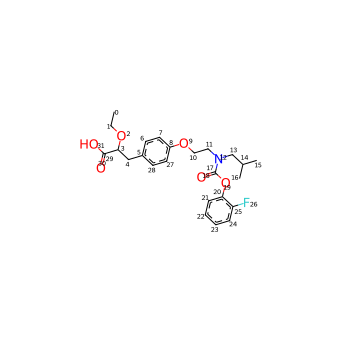 CCOC(Cc1ccc(OCCN(CC(C)C)C(=O)Oc2ccccc2F)cc1)C(=O)O